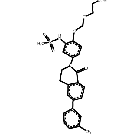 COCCOCOc1ccc(N2CCc3cc(-c4cccc(C(F)(F)F)c4)ccc3C2=O)cc1NS(C)(=O)=O